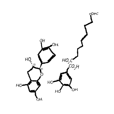 CCCCCCCCCCCCCCCCCC(=O)O.O=C(O)c1cc(O)c(O)c(O)c1.Oc1cc(O)c2c(c1)O[C@H](c1ccc(O)c(O)c1)[C@@H](O)C2